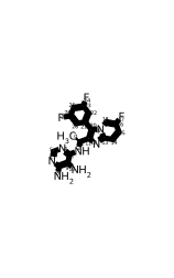 C[C@H](Nc1ncnc(N)c1N)c1nc2ccc(F)cn2c1-c1cc(F)cc(F)c1